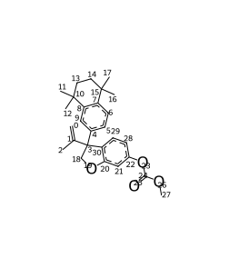 C=C(C)C1(c2ccc3c(c2)C(C)(C)CCC3(C)C)COc2cc(OC(=O)OC)ccc21